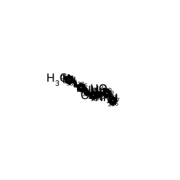 CN1CCN(CCc2ccc(NC(=O)c3ccc4[nH]c(-c5cc(-c6ccccn6)ccc5O)nc4c3)cc2)CC1